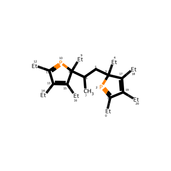 CCC1=PC(CC)(CC(C)C2(CC)P=C(CC)C(CC)=C2CC)C(CC)=C1CC